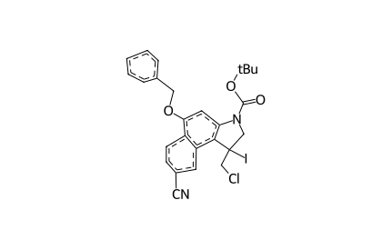 CC(C)(C)OC(=O)N1CC(I)(CCl)c2c1cc(OCc1ccccc1)c1ccc(C#N)cc21